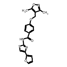 Cc1noc(C)c1COc1ccc(C(=O)Nc2nc(-c3ccco3)cs2)cc1